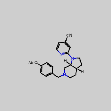 COc1ccc(CN2CC[C@H]3CCN(c4cc(C#N)ccn4)[C@H]3C2)cc1